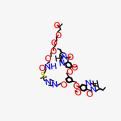 C/C=C1\C[C@H]2C=Nc3cc(OCc4cc(COc5cc6c(cc5OC)C(=O)N5C/C(=C/C)C[C@H]5C=N6)cc(OCCN5CCN(CC(C)(C)SCC(=O)NCCOCCOCCOCCOCCC(C)=O)CC5)c4)c(OC)cc3C(=O)N2C1